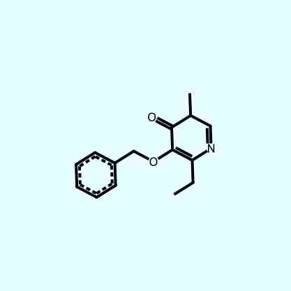 CCC1=C(OCc2ccccc2)C(=O)C(C)C=N1